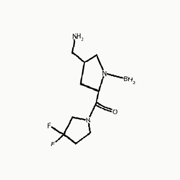 BN1CC(CN)CC1C(=O)N1CCC(F)(F)C1